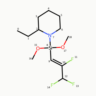 CCC1CCCCN1[Si](C=C(F)C(F)F)(OC)OC